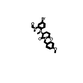 COc1ccc(CN2C(=O)CCC(N(C)c3ccc(Br)cc3N(C)C=O)C2=O)cc1